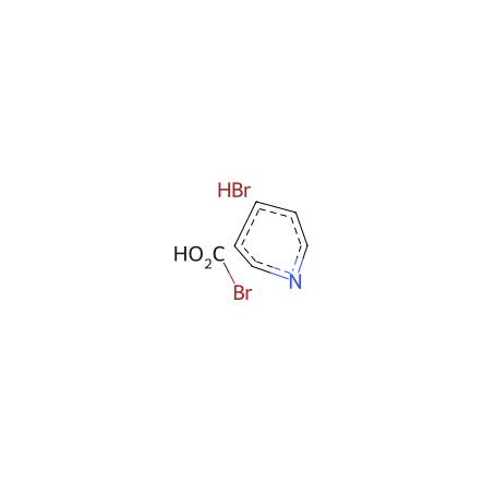 Br.O=C(O)Br.c1ccncc1